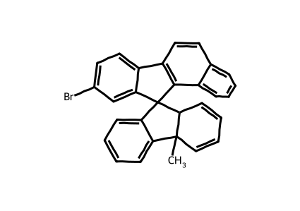 CC12C=CC=CC1C1(c3cc(Br)ccc3-c3ccc4ccccc4c31)c1ccccc12